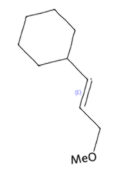 COC/C=[C]/C1CCCCC1